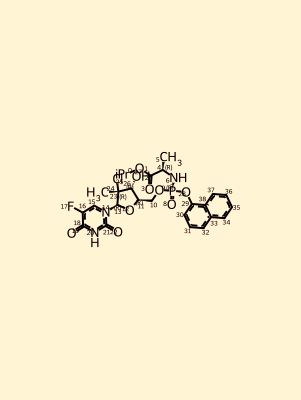 CC(C)OC(=O)[C@@H](C)N[P@@](=O)(OC[C@H]1O[C@@H](n2cc(F)c(=O)[nH]c2=O)[C@](C)(Cl)[C@@H]1O)Oc1cccc2ccccc12